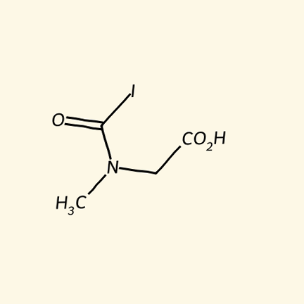 CN(CC(=O)O)C(=O)I